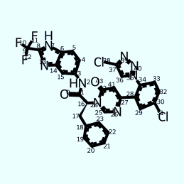 O=C(Nc1ccc2[nH]c(C(F)(F)F)nc2c1)[C@H](Cc1ccccc1)n1cnc(-c2cc(Cl)ccc2-n2cc(Cl)nn2)cc1=O